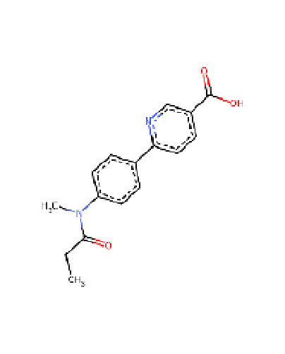 CCC(=O)N(C)c1ccc(-c2ccc(C(=O)O)cn2)cc1